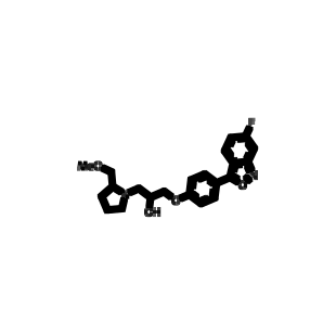 COCC1CCCN1CC(O)COc1ccc(-c2onc3cc(F)ccc23)cc1